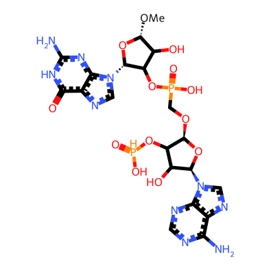 CO[C@H]1O[C@@H](n2cnc3c(=O)[nH]c(N)nc32)C(OP(=O)(O)CO[C@H]2O[C@@H](n3cnc4c(N)ncnc43)C(O)C2O[PH](=O)O)C1O